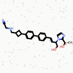 C[C@H](O)c1nccn1C(/C=C/c1ccc(-c2ccc(C3CC(CNCC#N)C3)cc2)cc1)CO